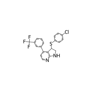 FC(F)(F)c1cccc(-c2ccnc3c2C(Sc2ccc(Cl)cc2)CN3)c1